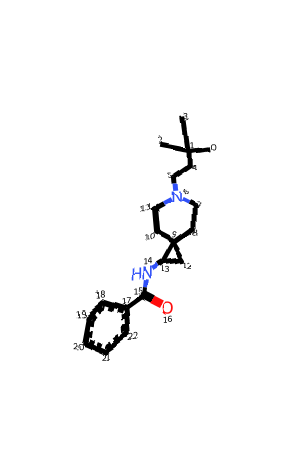 CC(C)(C)CCN1CCC2(CC1)CC2NC(=O)c1ccccc1